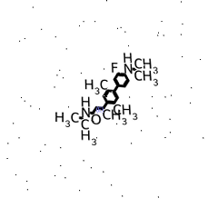 C/C(=C\C(=O)NC(C)C)c1cc(C)c(-c2ccc(NC(C)C)c(F)c2)cc1C